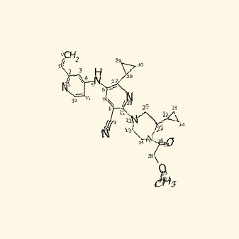 C=Cc1cc(Nc2cc(C#N)c(N3CCN(C(=O)COC)C(C4CC4)C3)nc2C2CC2)ccn1